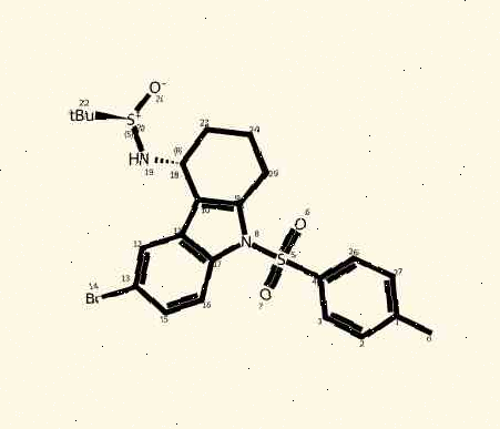 Cc1ccc(S(=O)(=O)n2c3c(c4cc(Br)ccc42)[C@H](N[S@+]([O-])C(C)(C)C)CCC3)cc1